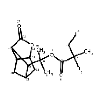 CC(I)(CI)C(=O)OC(C)(C)C1C2CC3OC(=O)C1C3C2